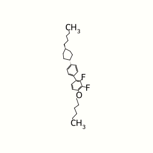 CCCCCCOc1ccc(-c2ccc([C@H]3CC[C@H](CCCCC)CC3)cc2)c(F)c1F